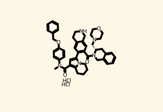 CN(C(=O)c1cc(-c2cc3c(cc2C(=O)N2Cc4ccccc4C[C@H]2CN2CCOCC2)CNCC3)n2c1CCCC2)c1ccc(OCc2ccccc2)cc1.Cl.Cl